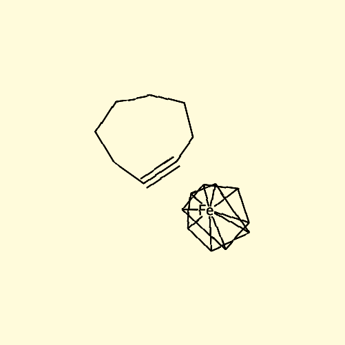 C1#CCCCCCC1.[CH]12[CH]3[CH]4[CH]5[CH]1[Fe]23451678[CH]2[CH]1[CH]6[CH]7[CH]28